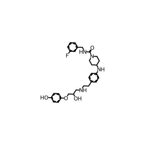 O=C(NCc1cccc(F)c1)N1CCC(Nc2ccc(CCNCC(O)COc3ccc(O)cc3)cc2)CC1